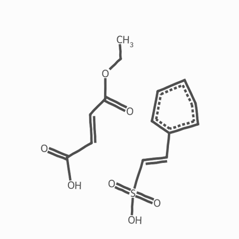 CCOC(=O)C=CC(=O)O.O=S(=O)(O)C=Cc1ccccc1